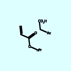 C=CC(=O)OCCC.CC(=O)CC(=O)O